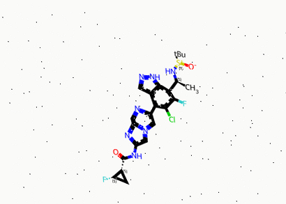 C[C@H](N[S@@+]([O-])C(C)(C)C)c1c(F)c(Cl)c(-c2cn3cc(NC(=O)[C@@H]4C[C@@H]4F)nc3cn2)c2cn[nH]c12